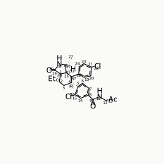 CC[C@@]12CC[C@@H](c3ccc(C(=O)NCC(C)=O)cc3Cl)[C@H](c3ccc(Cl)cc3)[C@@H]1[C@@H](C)NC2=O